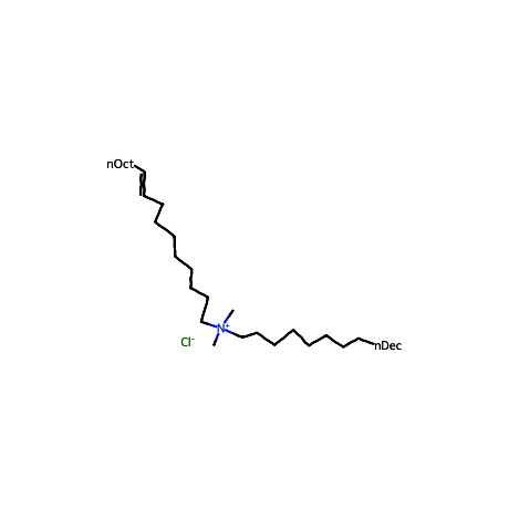 CCCCCCCCC=CCCCCCCCC[N+](C)(C)CCCCCCCCCCCCCCCCCC.[Cl-]